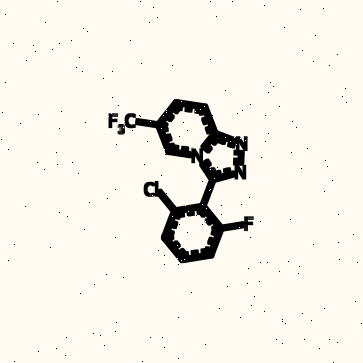 Fc1cccc(Cl)c1-c1nnc2ccc(C(F)(F)F)cn12